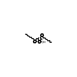 CCCCCCCCc1ccccc1CC(C)c1cccc(O)c1C(C)Cc1ccccc1CCCCCCCC